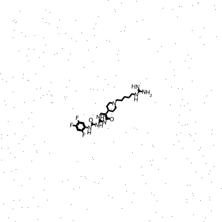 N=C(N)NCCCCCN1CCC(c2c[nH]c(NC(=O)Nc3cc(F)c(F)cc3F)nc2=O)CC1